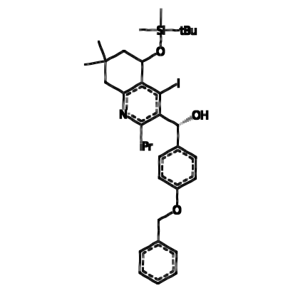 CC(C)c1nc2c(c(I)c1[C@H](O)c1ccc(OCc3ccccc3)cc1)C(O[Si](C)(C)C(C)(C)C)CC(C)(C)C2